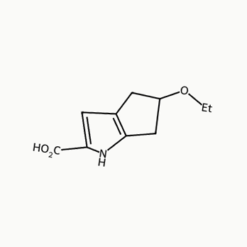 CCOC1Cc2cc(C(=O)O)[nH]c2C1